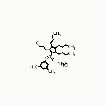 Cl.Cl.[CH2]=[Ti]([O]c1cc(C)cc(C)c1)[C]1=C(CCCC)C(CCCC)=C(CCCC)C1CCCC